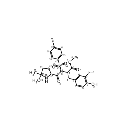 CC(C)OC(=O)[C@H](Cc1ccc(O)c(F)c1)N(C(=O)[C@H]1NC(C)(C)CS1)S(=O)(=O)c1ccc(F)cc1